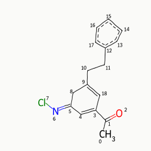 CC(=O)C1=CC(=NCl)CC(CCc2ccccc2)=C1